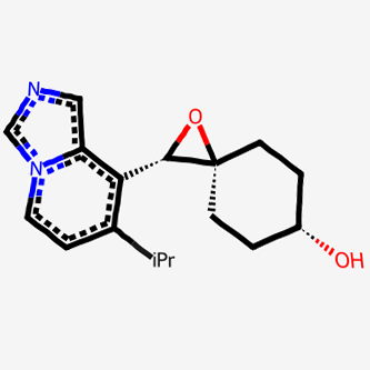 CC(C)c1ccn2cncc2c1[C@@H]1O[C@]12CC[C@@H](O)CC2